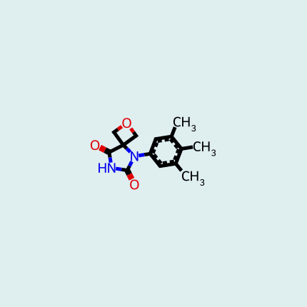 Cc1cc(N2C(=O)NC(=O)C23COC3)cc(C)c1C